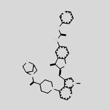 Cn1cc(C=C2Oc3ccc(NC(=O)Nc4cccnc4)cc3C2=O)c2c(N3CCC(C(=O)N4CC5CC4CN5)CC3)ccnc21